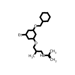 C=C(C)BCC(C)COC1CC(CC)CC(OCC2CCCCC2)C1